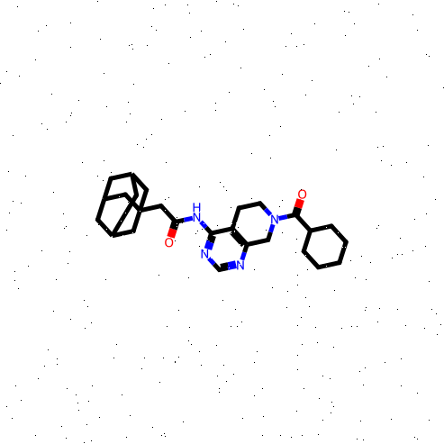 O=C(CC12CC3CC(CC(C3)C1)C2)Nc1ncnc2c1CCN(C(=O)C1CCCCC1)C2